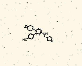 N#Cc1ccc(-c2nc(NC[C@H]3CCNC3)ncc2N2CCC3(CC2)CC3)cc1